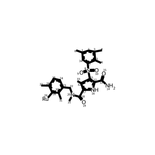 Cc1cc(C)c(C)c(S(=O)(=O)c2c(C(N)=O)[nH]c(C(=O)N(C)Cc3ccc(C)[c]([Ru])c3C)c2C)c1